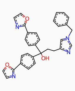 OC(CCc1cn(Cc2ccccc2)cn1)(c1ccc(-c2ncco2)cc1)c1ccc(-c2ncco2)cc1